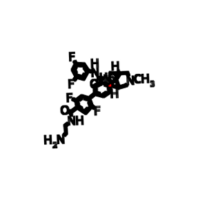 CN1C[C@@H]2CN(C(=O)Nc3cc(F)cc(F)c3)C[C@H](C1)[C@]2(O)c1ccc(-c2cc(F)c(C(=O)NCCN)cc2F)cc1